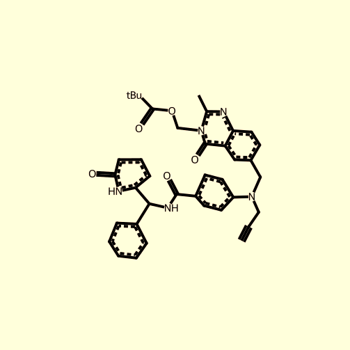 C#CCN(Cc1ccc2nc(C)n(COC(=O)C(C)(C)C)c(=O)c2c1)c1ccc(C(=O)NC(c2ccccc2)c2cccc(=O)[nH]2)cc1